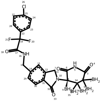 BC1(B)C(=O)NC(=O)[C@@](B)(N2Cc3cc(CNC(=O)C(F)(F)c4ccc(Cl)cc4)ccc3C2=O)C1(B)B